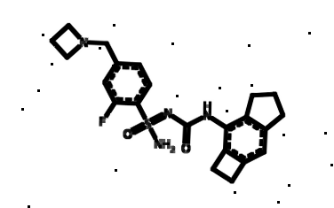 NS(=O)(=NC(=O)Nc1c2c(cc3c1CC3)CCC2)c1ccc(CN2CCC2)cc1F